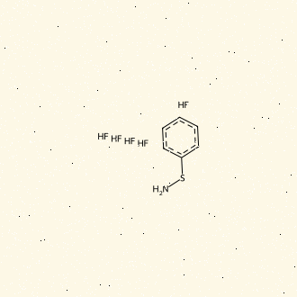 F.F.F.F.F.NSc1ccccc1